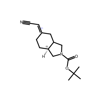 CC(C)(C)OC(=O)N1CC2C/C(=C/C#N)CC[C@@H]2C1